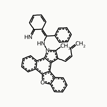 C=C/C=C\c1c(C)n(N/C(=C2/C=CC=CC2=N)c2ccccc2)c2c3ccccc3c3oc4ccccc4c3c12